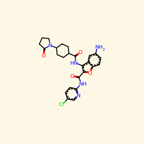 Nc1ccc2oc(C(=O)Nc3ccc(Cl)cn3)c(NC(=O)C3CCC(N4CCCC4=O)CC3)c2c1